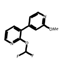 COc1cc(-c2cccnc2OC(F)F)ccn1